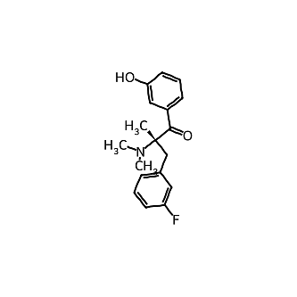 CN(C)[C@@](C)(Cc1cccc(F)c1)C(=O)c1cccc(O)c1